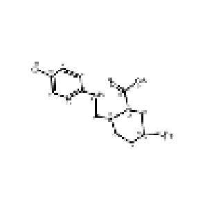 C[C@H]1CC[C@@H](CNc2ccc(Cl)cn2)N(C(=O)O)C1